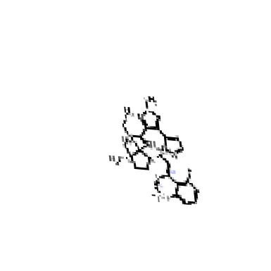 C=C(/C=C(\N=N/C)c1c(F)cccc1F)[C@@H]1CC[C@@](C)(CN(CC)C(=O)c2nn(C)cc2-c2ccno2)C1(C)C